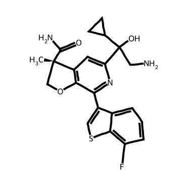 C[C@]1(C(N)=O)COc2c1cc(C(O)(CN)C1CC1)nc2-c1csc2c(F)cccc12